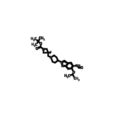 CC(C)Oc1cc2nn(C3CCN(CC4(F)CN(C(=O)OC(C)(C)C)C4)CC3)cc2cc1NC=O